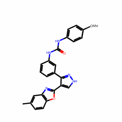 COc1ccc(NC(=O)Nc2cccc(-c3n[nH]cc3-c3nc4cc(C)ccc4o3)c2)cc1